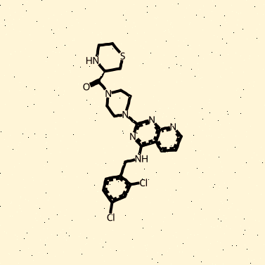 O=C([C@@H]1CSCCN1)N1CCN(c2nc(NCc3ccc(Cl)cc3Cl)c3cccnc3n2)CC1